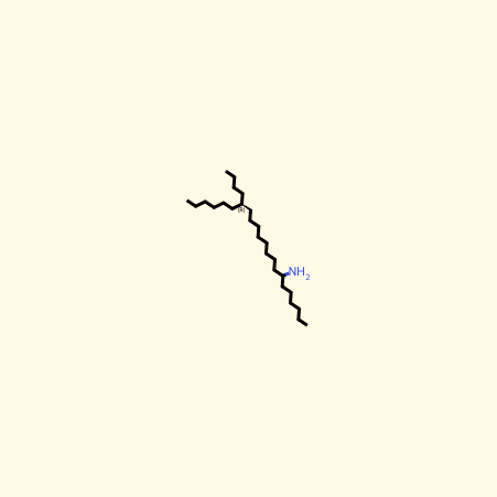 CCCCCCC(N)CCCCCCCC[C@H](CCCC)CCCCCC